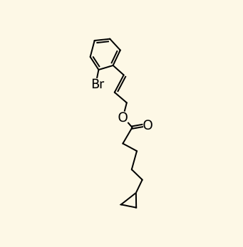 O=C(CCCCC1CC1)OC/C=C/c1ccccc1Br